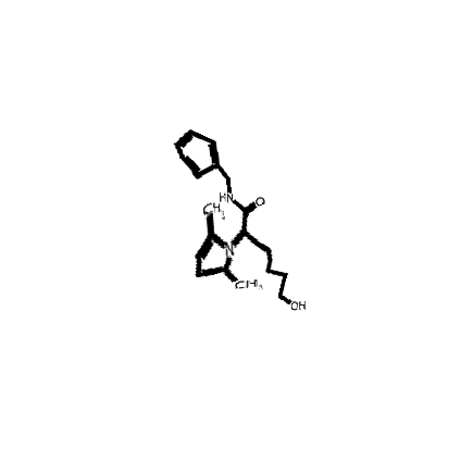 Cc1ccc(C)n1C(CCCCO)C(=O)NCc1ccccc1